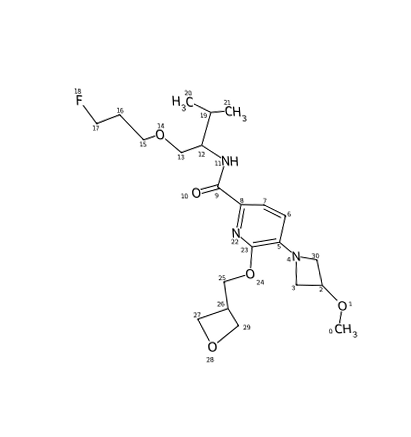 COC1CN(c2ccc(C(=O)NC(COCCCF)C(C)C)nc2OCC2COC2)C1